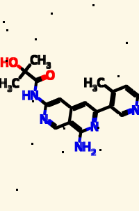 Cc1ccncc1-c1cc2cc(NC(=O)C(C)(C)O)ncc2c(N)n1